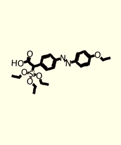 CCOc1ccc(N=Nc2ccc(C(C(=O)O)[Si](OCC)(OCC)OCC)cc2)cc1